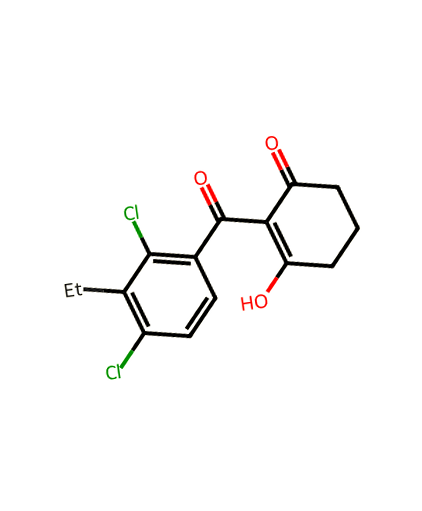 CCc1c(Cl)ccc(C(=O)C2=C(O)CCCC2=O)c1Cl